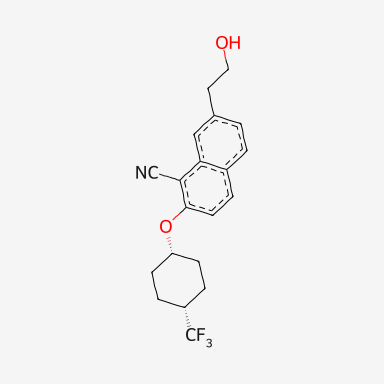 N#Cc1c(O[C@H]2CC[C@@H](C(F)(F)F)CC2)ccc2ccc(CCO)cc12